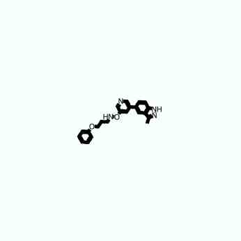 Cc1n[nH]c2ccc(-c3cncc(ONCCCOc4ccccc4)c3)cc12